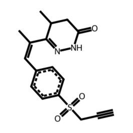 C#CCS(=O)(=O)c1ccc(C=C(C)C2=NNC(=O)CC2C)cc1